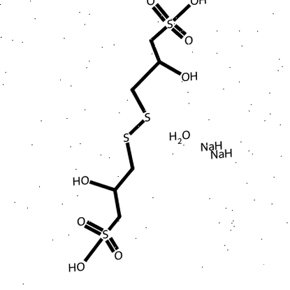 O.O=S(=O)(O)CC(O)CSSCC(O)CS(=O)(=O)O.[NaH].[NaH]